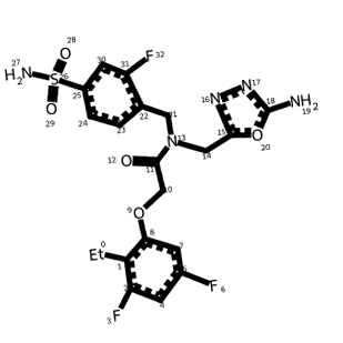 CCc1c(F)cc(F)cc1OCC(=O)N(Cc1nnc(N)o1)Cc1ccc(S(N)(=O)=O)cc1F